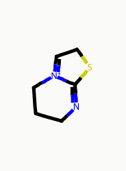 C1=[N+]2CCCN=C2SC1